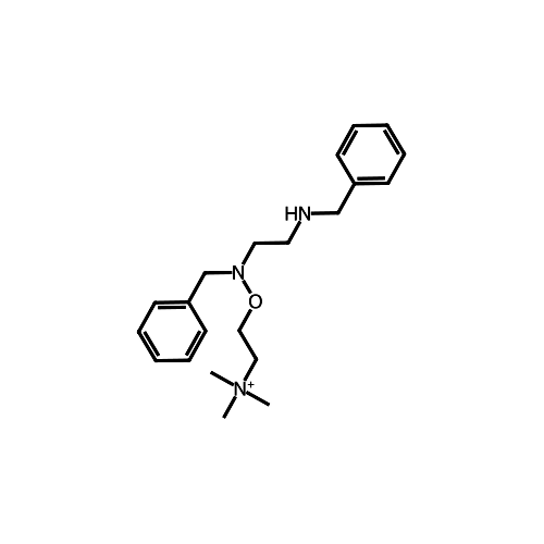 C[N+](C)(C)CCON(CCNCc1ccccc1)Cc1ccccc1